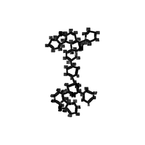 c1ccc(-c2nc(-c3ccc(-c4ccc5c(c4)nc(-c4ccccc4)c4ccc6sc7ccccc7c6c45)cc3)cc(-c3cccc4sc5ccccc5c34)n2)cc1